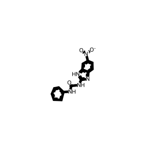 O=C(Nc1ccccc1)Nc1nc2ccc([N+](=O)[O-])cc2[nH]1